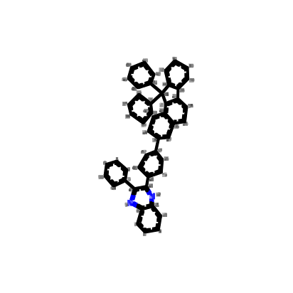 c1ccc(-c2nc3ccccc3nc2-c2ccc(-c3ccc4c5c(ccc4c3)-c3ccccc3C5(c3ccccc3)c3ccccc3)cc2)cc1